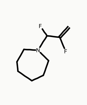 C=C(F)C(F)N1CCCCCC1